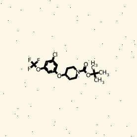 CC(C)(C)OC(=O)N1CCC(Oc2cc(Cl)cc(OC(F)(F)F)c2)CC1